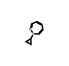 C1=CC=NN(C2CC2)C=C1